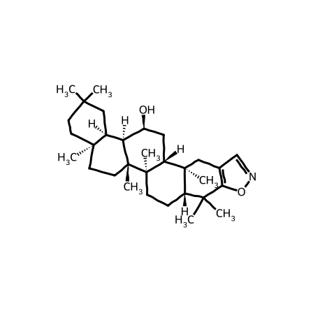 CC1(C)CC[C@]2(C)CC[C@]3(C)[C@H]([C@@H](O)C[C@@H]4[C@@]5(C)Cc6cnoc6C(C)(C)[C@@H]5CC[C@]43C)[C@@H]2C1